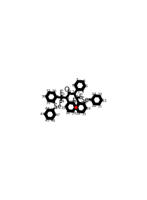 O=C(C(c1ccccc1)C(F)(F)c1ccccc1[Se]c1ccccc1)C(c1ccccc1)C(F)(F)c1ccccc1[Se]c1ccccc1